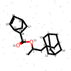 CC(CC12CC3CC(CC(C3)C1)C2)OC(=O)C1CC2C=CC1C2